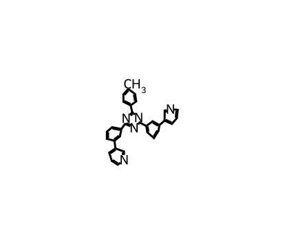 Cc1ccc(-c2nc(-c3cccc(-c4cccnc4)c3)nc(-c3cccc(-c4cccnc4)c3)n2)cc1